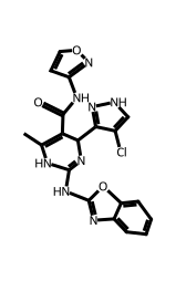 CC1=C(C(=O)Nc2ccon2)C(c2n[nH]cc2Cl)N=C(Nc2nc3ccccc3o2)N1